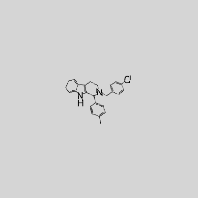 Cc1ccc(C2c3[nH]c4c(c3CCN2Cc2ccc(Cl)cc2)=CCCC=4)cc1